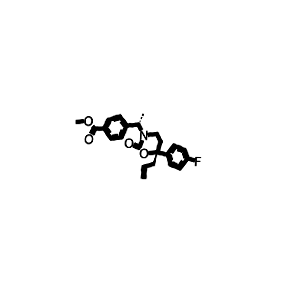 C=CC[C@]1(c2ccc(F)cc2)CCN([C@@H](C)c2ccc(C(=O)OC)cc2)C(=O)O1